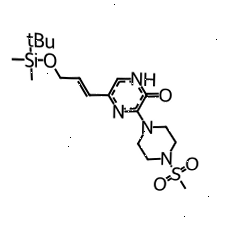 CC(C)(C)[Si](C)(C)OCC=Cc1c[nH]c(=O)c(N2CCN(S(C)(=O)=O)CC2)n1